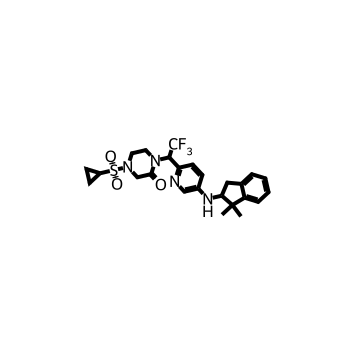 CC1(C)c2ccccc2CC1Nc1ccc(C(N2CCN(S(=O)(=O)C3CC3)CC2=O)C(F)(F)F)nc1